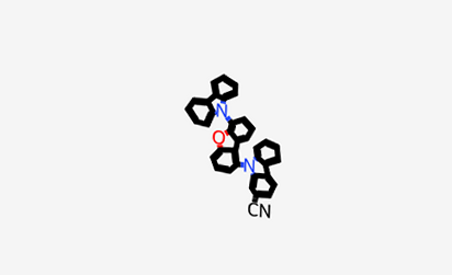 N#Cc1ccc2c3ccccc3n(-c3cccc4oc5c(-n6c7ccccc7c7ccccc76)cccc5c34)c2c1